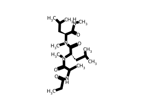 CCC(=O)NC(C)C(=O)N(C)[C@@H](CC(C)C)C(=O)N(C)[C@@H](CC(C)C)C(=O)NC